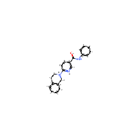 O=C(Nc1ccccc1)c1ccc(N2CCc3ccccc3C2)nc1